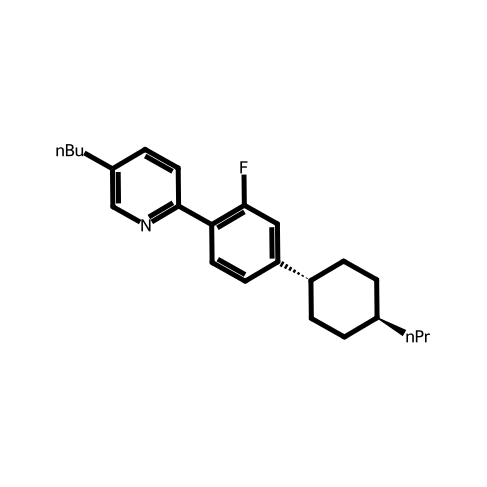 CCCCc1ccc(-c2ccc([C@H]3CC[C@H](CCC)CC3)cc2F)nc1